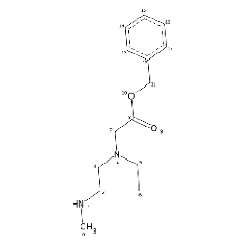 CNCCN(CI)CC(=O)OCc1ccccc1